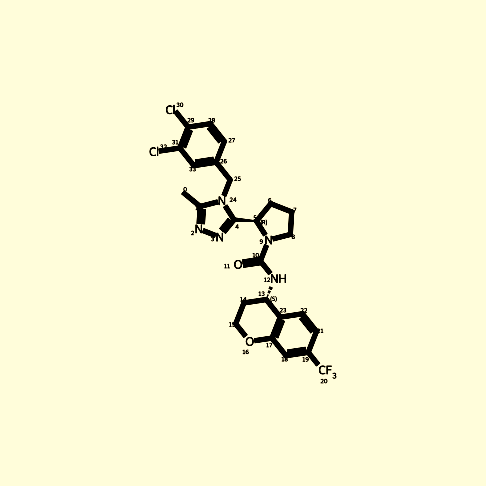 Cc1nnc([C@H]2CCCN2C(=O)N[C@H]2CCOc3cc(C(F)(F)F)ccc32)n1Cc1ccc(Cl)c(Cl)c1